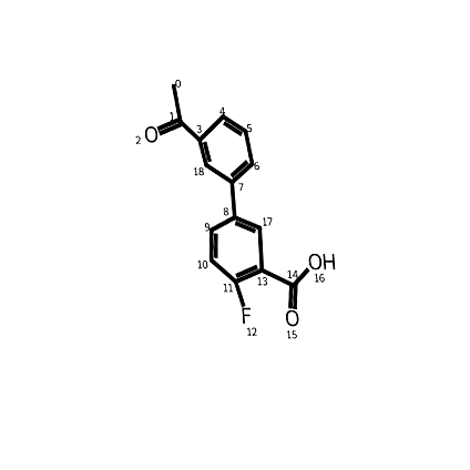 CC(=O)c1cccc(-c2ccc(F)c(C(=O)O)c2)c1